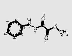 COC(=O)C(=O)ONc1ccccc1